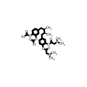 CCC(=O)Oc1ccc(C[C@@H](C)[C@@H](C)Cc2ccc(OC(=O)CN(C)C)c(OC(=O)CN(C)C)c2)cc1OC(=O)CC